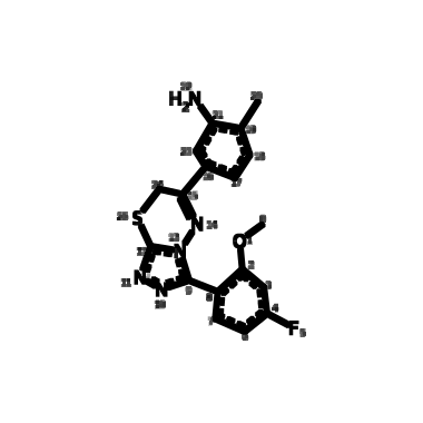 COc1cc(F)ccc1-c1nnc2n1N=C(c1ccc(C)c(N)c1)CS2